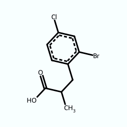 CC(Cc1ccc(Cl)cc1Br)C(=O)O